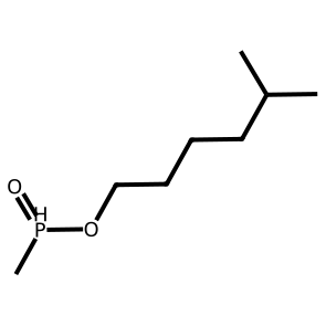 CC(C)CCCCO[PH](C)=O